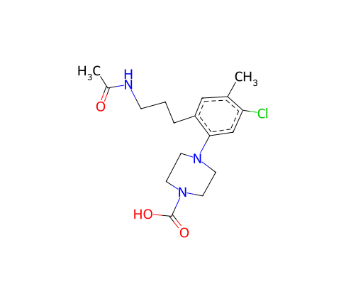 CC(=O)NCCCc1cc(C)c(Cl)cc1N1CCN(C(=O)O)CC1